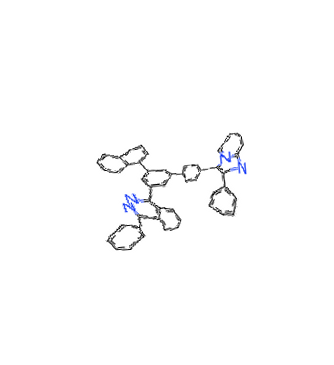 c1ccc(-c2nc3ccccn3c2-c2ccc(-c3cc(-c4cccc5ccccc45)cc(-c4nnc(-c5ccccc5)c5ccccc45)c3)cc2)cc1